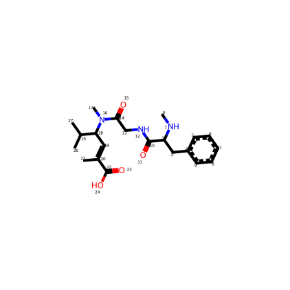 CNC(Cc1ccccc1)C(=O)NCC(=O)N(C)C(/C=C(\C)C(=O)O)C(C)C